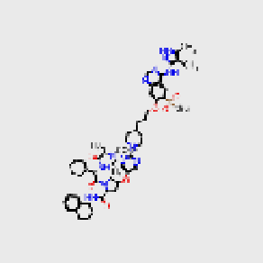 Cc1[nH]nc(Nc2ncnc3cc(OCCCC4CCN(c5ncc(O[C@H]6C[C@@H](C(=O)N[C@@H]7CCCc8ccccc87)N(C(=O)[C@@H](NC(=O)C(C)N(C)C(=O)O)C7CCCCC7)C6)cn5)CC4)c(S(=O)(=O)C(C)(C)C)cc23)c1C